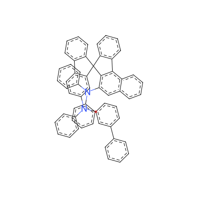 c1ccc(-c2cccc(N(c3ccccc3)c3ccc4c(c3)C3(c5ccccc5-4)c4ccccc4-c4c3c(N(c3ccccc3)c3ccccc3)cc3ccccc43)c2)cc1